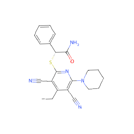 CCc1c(C#N)c(S[C@@H](C(N)=O)c2ccccc2)nc(N2CCCCC2)c1C#N